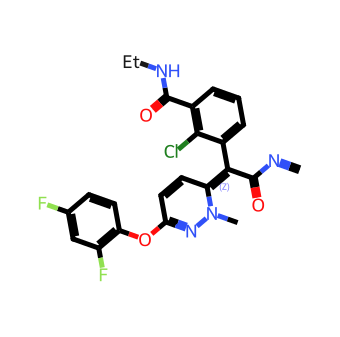 C=NC(=O)/C(=C1/C=CC(Oc2ccc(F)cc2F)=NN1C)c1cccc(C(=O)NCC)c1Cl